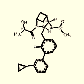 C[C@@H](O)C(=O)N1C2CC(C2)[C@H](N[S+](C)[O-])[C@@H]1Cc1cccc(-c2cccc(C3CC3)c2)c1F